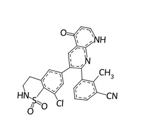 Cc1c(C#N)cccc1-c1nc2[nH]ccc(=O)c2cc1-c1cc(Cl)c2c(c1)CCNS2(=O)=O